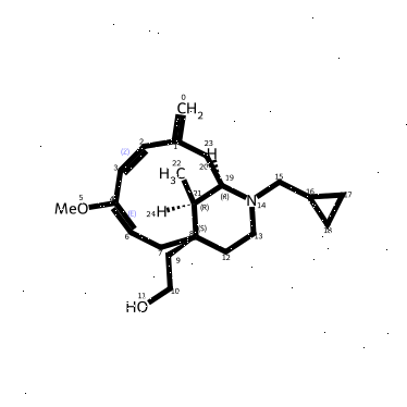 C=C1/C=C\C(OC)=C/C[C@@]2(CCO)CCN(CC3CC3)[C@H](C1)[C@@H]2C